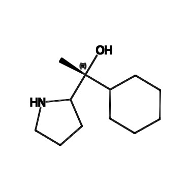 C[C@@](O)(C1CCCCC1)C1CCCN1